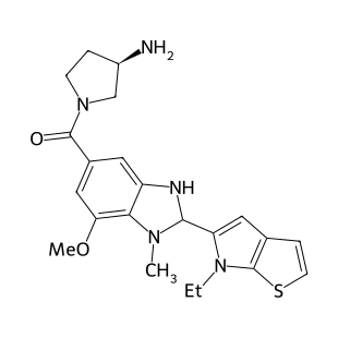 CCn1c(C2Nc3cc(C(=O)N4CC[C@@H](N)C4)cc(OC)c3N2C)cc2ccsc21